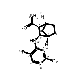 NC(=O)[C@H]1[C@H]2C[CH][C@@H](C2)[C@H]1Nc1nc(Cl)ncc1F